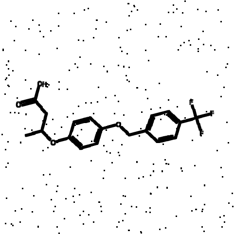 CC(CC(=O)O)Oc1ccc(OCc2ccc(C(F)(F)F)cc2)cc1